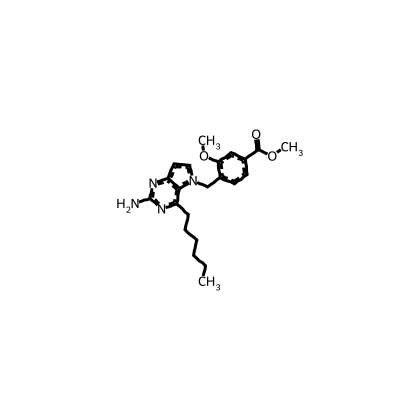 CCCCCCc1nc(N)nc2ccn(Cc3ccc(C(=O)OC)cc3OC)c12